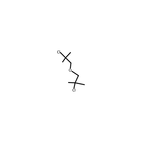 CC(C)(Cl)COCC(C)(C)Cl